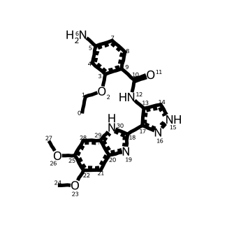 CCOc1cc(N)ccc1C(=O)Nc1c[nH]nc1-c1nc2cc(OC)c(OC)cc2[nH]1